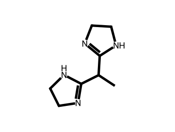 CC(C1=NCCN1)C1=NCCN1